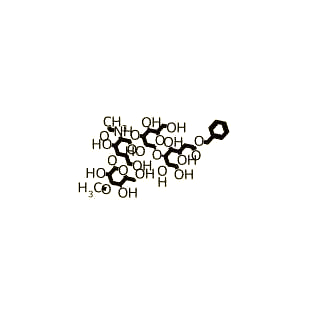 COC1C(O)[C@H](O[C@@H]2C(CO)O[C@@H](OC3C(O)[C@H](O[C@H](C(O)CO)C(O)C(O)CC(=O)OCc4ccccc4)OC(CO)[C@@H]3O)C(NC(C)=O)C2O)OC(CO)[C@@H]1O